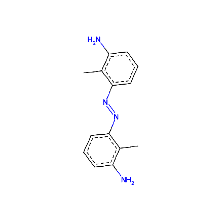 Cc1c(N)cccc1N=Nc1cccc(N)c1C